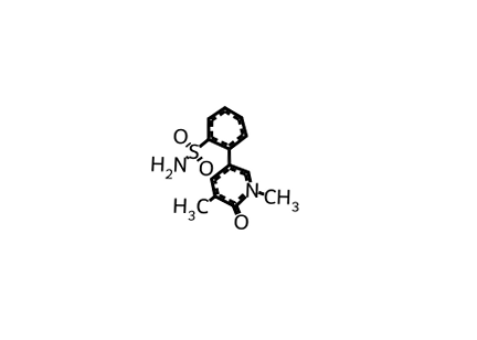 Cc1cc(-c2ccccc2S(N)(=O)=O)cn(C)c1=O